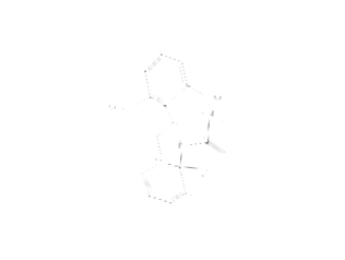 COc1cccc(OC)c1CCN1C=CC=CC1(Br)NC(N)=S